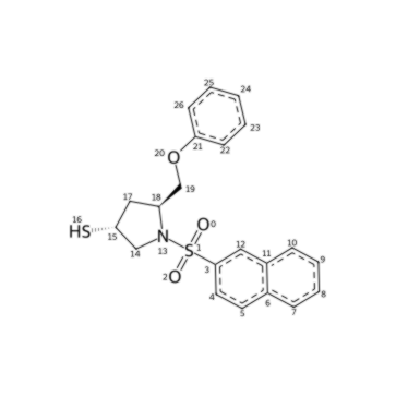 O=S(=O)(c1ccc2ccccc2c1)N1C[C@H](S)C[C@H]1COc1ccccc1